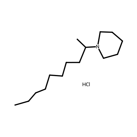 CCCCCCCCC(C)N1CCCCC1.Cl